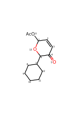 CC(=O)OC1C=CC(=O)C(C2CCCCC2)O1